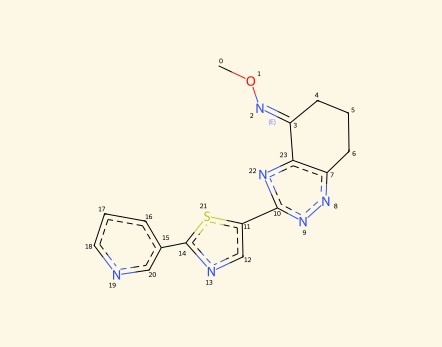 CO/N=C1\CCCc2nnc(-c3cnc(-c4cccnc4)s3)nc21